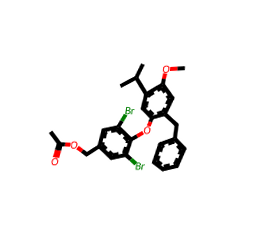 COc1cc(Cc2ccccc2)c(Oc2c(Br)cc(COC(C)=O)cc2Br)cc1C(C)C